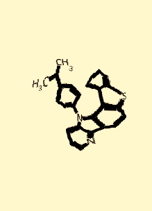 CC(C)c1ccc(-n2c3cccnc3c3ccc4sc5ccccc5c4c32)cc1